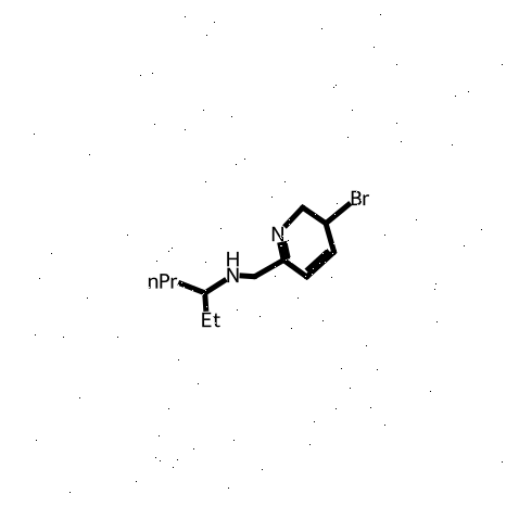 CCCC(CC)NCC1=NCC(Br)C=C1